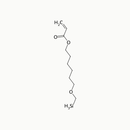 C=CC(=O)OCCCCCCOC[SiH3]